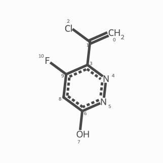 C=C(Cl)c1nnc(O)cc1F